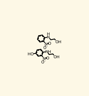 O=[N+]([O-])c1cc(O)ccc1NCCO.O=[N+]([O-])c1ccccc1NCCO